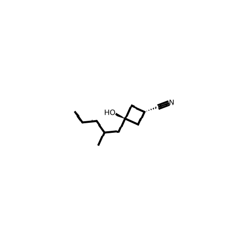 CCCC(C)C[C@]1(O)C[C@H](C#N)C1